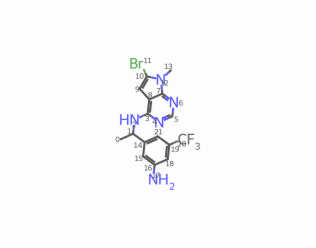 CC(Nc1ncnc2c1cc(Br)n2C)c1cc(N)cc(C(F)(F)F)c1